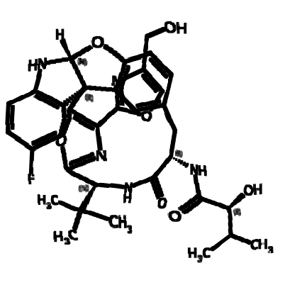 CC(C)[C@H](O)C(=O)N[C@H]1Cc2ccc3c(c2)[C@@]2(c4cc(F)ccc4N[C@@H]2O3)c2oc(nc2-c2nc(CO)co2)[C@H](C(C)(C)C)NC1=O